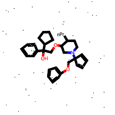 CCCC1CCN(C2(COc3ccccc3)C=CC=C2)CC1OCC(O)(c1ccccc1)C1CCCC1